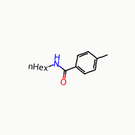 CCCCCCNC(=O)c1ccc(C)cc1